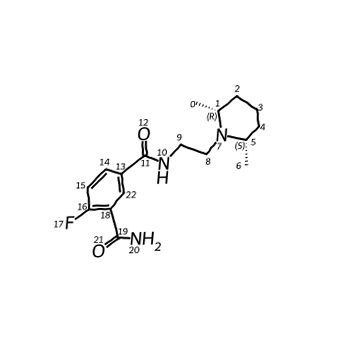 C[C@@H]1CCC[C@H](C)N1CCNC(=O)c1ccc(F)c(C(N)=O)c1